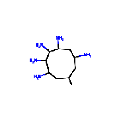 CC1CC(N)CC(N)C(N)C(N)C(N)C1